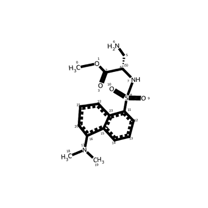 COC(=O)[C@H](CN)NS(=O)(=O)c1cccc2c(N(C)C)cccc12